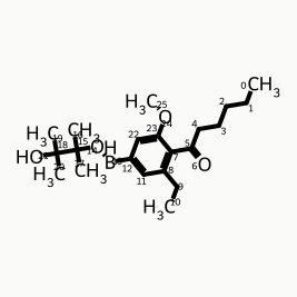 CCCCCC(=O)c1c(CC)cc(BOC(C)(C)C(C)(C)O)cc1OC